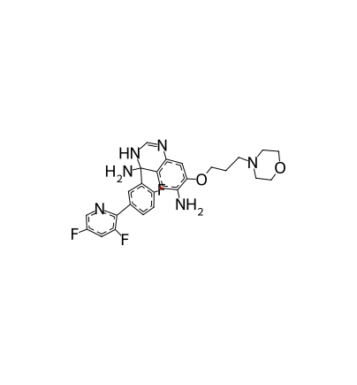 Nc1cc2c(cc1OCCCN1CCOCC1)N=CNC2(N)c1cc(-c2ncc(F)cc2F)ccc1F